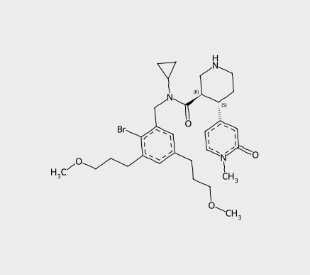 COCCCc1cc(CCCOC)c(Br)c(CN(C(=O)[C@H]2CNCC[C@@H]2c2ccn(C)c(=O)c2)C2CC2)c1